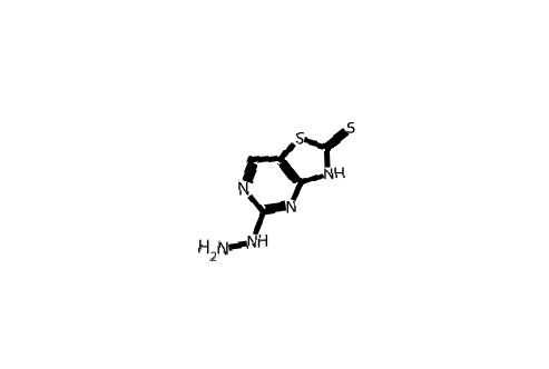 NNc1ncc2sc(=S)[nH]c2n1